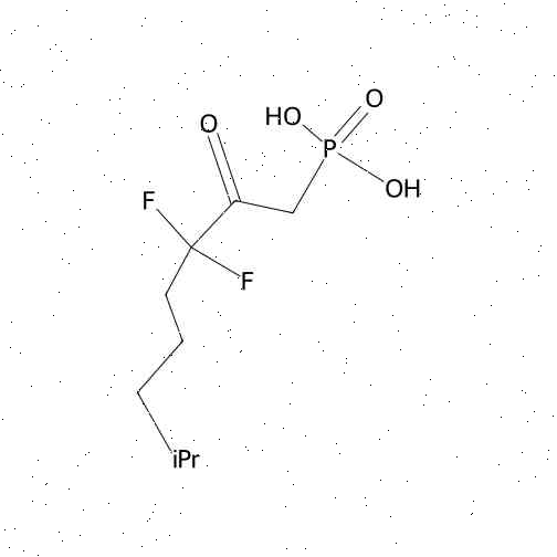 CC(C)CCCC(F)(F)C(=O)CP(=O)(O)O